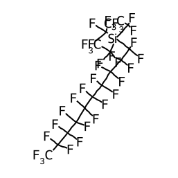 FC(F)(F)C(F)(F)C(F)(F)C(F)(F)C(F)(F)C(F)(F)C(F)(F)C(F)(F)C(F)(F)C(F)(F)[Si](C(F)(F)C(F)(F)F)(C(F)(F)C(F)(F)F)C(F)(F)C(F)(F)F